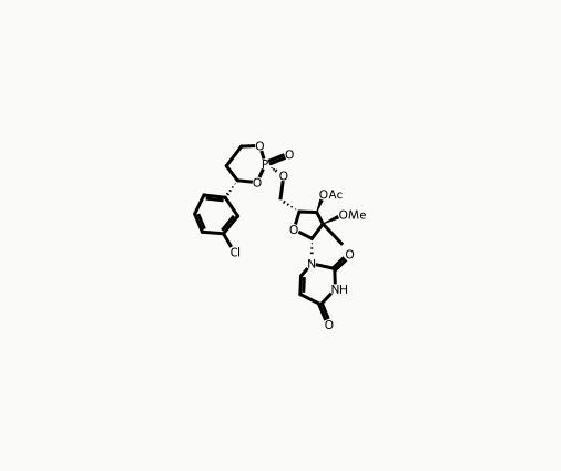 CO[C@]1(C)[C@H](OC(C)=O)[C@@H](CO[P@@]2(=O)OCC[C@@H](c3cccc(Cl)c3)O2)O[C@H]1n1ccc(=O)[nH]c1=O